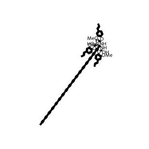 CC#CC#CC#CC#CC#CC#CC#CC#CC#CC#CC#CC#CC#CC#CC#CC#CC#CC(NC(=O)Oc1ccc(C=CC)cc1OC)(NC(O)Oc1ccc(C=CC)cc1OC)NC(O)Oc1ccc(C=CC)cc1OC